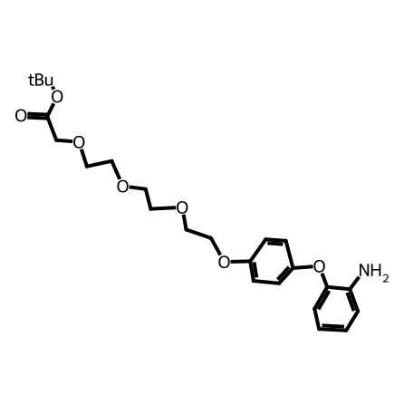 CC(C)(C)OC(=O)COCCOCCOCCOc1ccc(Oc2ccccc2N)cc1